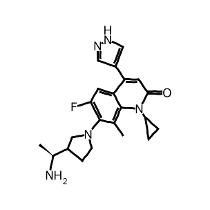 Cc1c(N2CCC([C@H](C)N)C2)c(F)cc2c(-c3cn[nH]c3)cc(=O)n(C3CC3)c12